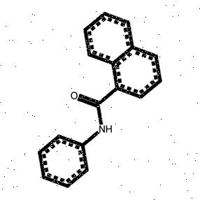 O=C(Nc1cc[c]cc1)c1cccc2ccccc12